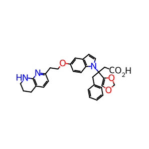 O=C(O)CC(Cc1ccccc1)(C1=COCO1)n1ccc2cc(OCCc3ccc4c(n3)NCCC4)ccc21